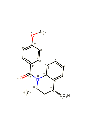 C[C@H]1C[C@H](C(=O)O)c2ccccc2N1C(=O)c1ccc(OC(F)(F)F)cc1